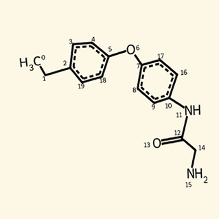 CCc1ccc(Oc2ccc(NC(=O)CN)cc2)cc1